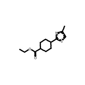 CCOC(=O)C1CCC(c2nc(C)cs2)CC1